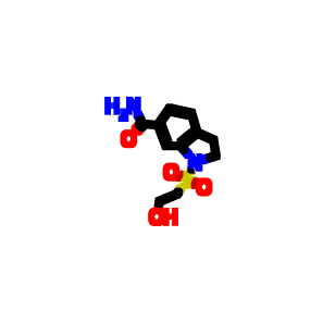 NC(=O)c1ccc2c(c1)N(S(=O)(=O)CCO)CC2